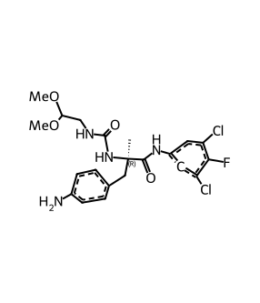 COC(CNC(=O)N[C@](C)(Cc1ccc(N)cc1)C(=O)Nc1cc(Cl)c(F)c(Cl)c1)OC